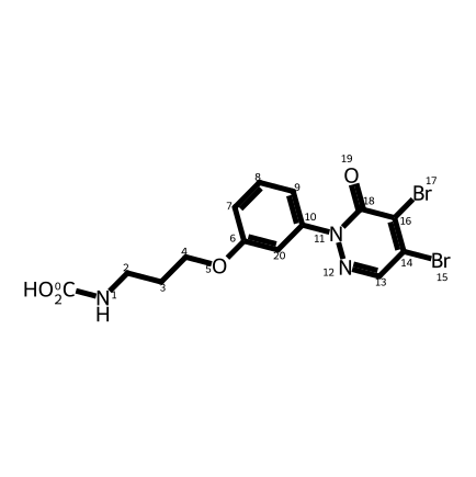 O=C(O)NCCCOc1cccc(-n2ncc(Br)c(Br)c2=O)c1